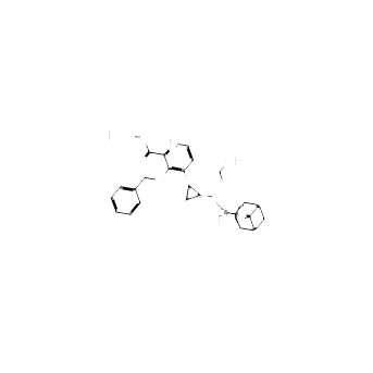 CCOB(OC1CC2CC(C1)C2(C)C)[C@H]1C[C@H]1c1ccnc(C(=O)OC)c1OCc1ccccc1